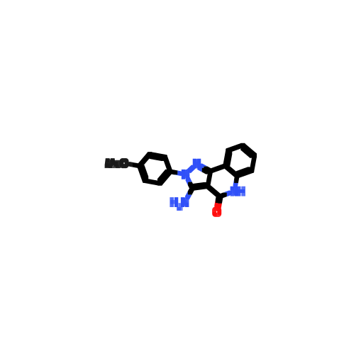 COc1ccc(-n2nc3c(c2N)c(=O)[nH]c2ccccc23)cc1